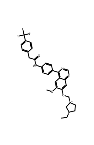 CCN1CC[C@H](COc2cc3ncnc(-c4ccc(NC(=O)Cc5ccc(C(F)(F)F)cc5)cc4)c3cc2OC)C1